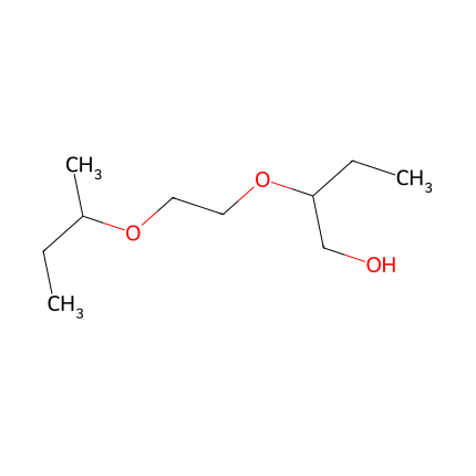 CCC(C)OCCOC(CC)CO